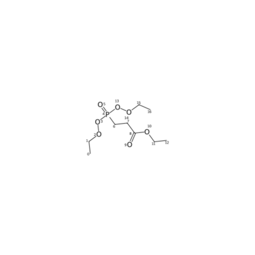 CCOOP(=O)(CCC(=O)OCC)OOCC